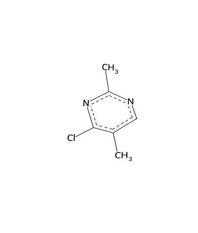 Cc1ncc(C)c(Cl)n1